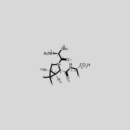 CC(=O)N[C@H](C(=O)N1C[C@H]2[C@@H]([C@H]1C(=O)N[C@@H](C)C(=O)O)C2(C)C)C(C)(C)C